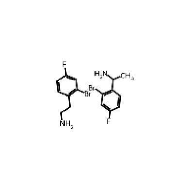 CC(N)c1ccc(F)cc1Br.NCCc1ccc(F)cc1Br